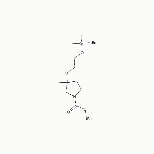 CC(C)(C)OC(=O)N1CCC(C)(OCCO[Si](C)(C)C(C)(C)C)C1